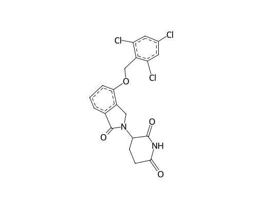 O=C1CCC(N2Cc3c(OCc4c(Cl)cc(Cl)cc4Cl)cccc3C2=O)C(=O)N1